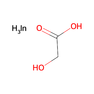 O=C(O)CO.[InH3]